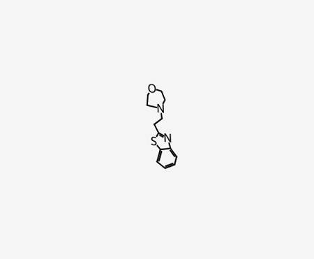 c1ccc2sc(CCN3CCOCC3)nc2c1